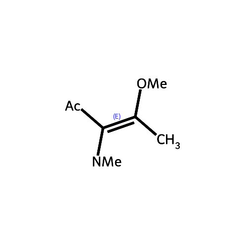 CN/C(C(C)=O)=C(\C)OC